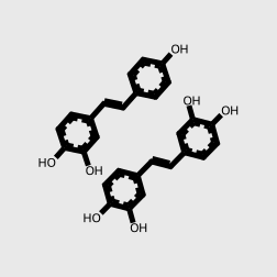 Oc1ccc(/C=C/c2ccc(O)c(O)c2)cc1.Oc1ccc(/C=C/c2ccc(O)c(O)c2)cc1O